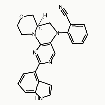 N#Cc1ccccc1N1C[C@@H]2COCCN2c2nc(-c3cccc4[nH]ccc34)ncc21